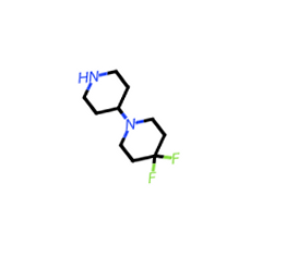 FC1(F)CCN(C2CCNCC2)CC1